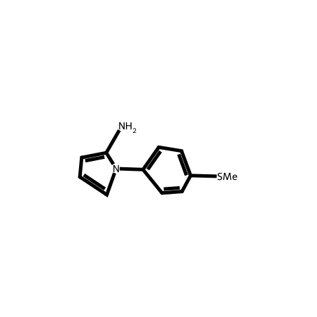 CSc1ccc(-n2cccc2N)cc1